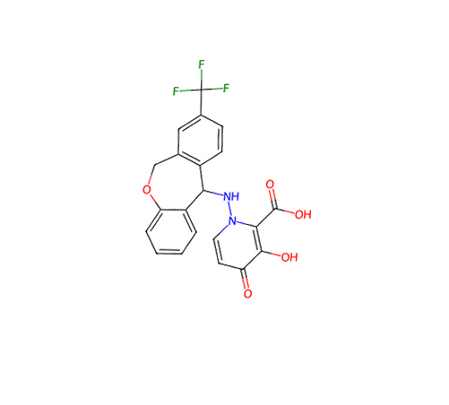 O=C(O)c1c(O)c(=O)ccn1NC1c2ccc(C(F)(F)F)cc2COc2ccccc21